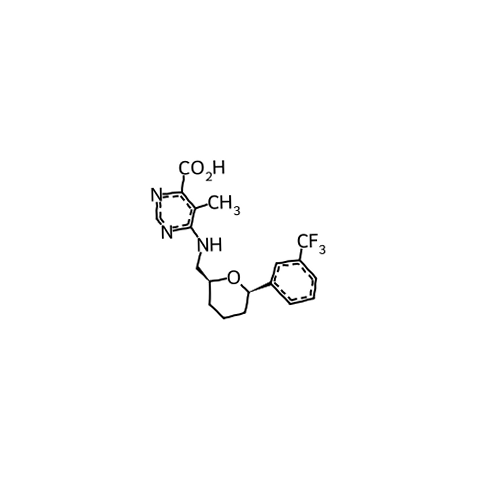 Cc1c(NC[C@@H]2CCC[C@H](c3cccc(C(F)(F)F)c3)O2)ncnc1C(=O)O